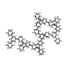 c1ccc(-c2cc(-c3ccccc3)cc(-c3cccc(-n4c5ccccc5c5cc(-c6ccc7c(c6)c6cc(-c8cccc(-c9cccc(-c%10ccc%11c(c%10)c%10cc(-c%12ccc%13c(c%12)c%12ccccc%12n%13-c%12cccc(-c%13cc(-c%14ccccc%14)cc(-c%14ccccc%14)c%13)c%12)ccc%10n%11-c%10ccccc%10)c9)c8)ccc6n7-c6ccccc6)ccc54)c3)c2)cc1